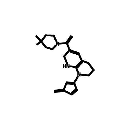 C=C1C=CC(N2CCCC3=C2NCC(C(=C)N2CCC(C)(C)CC2)=C3)=C1